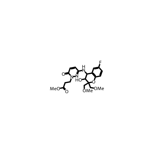 COCC1(COC)Oc2ccc(F)cc2C(Nc2ccc(=O)n(CCC(=O)OC)n2)C1O